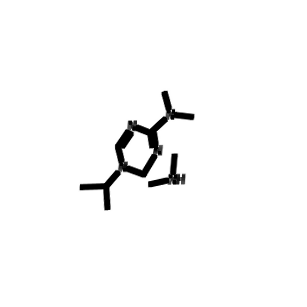 CC(C)N1C=NC(N(C)C)=NC1.CNC